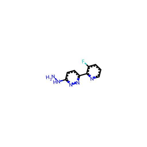 NNc1ccc(-c2ncccc2F)nn1